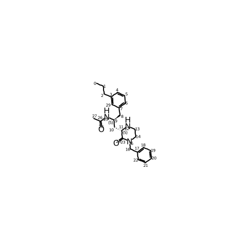 CCCc1cccc(C[C@@H](C[C@@H]2NCCN(Cc3ccccc3)C2=O)NC(C)=O)c1